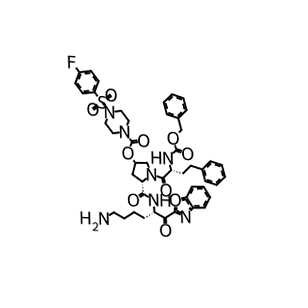 NCCCC[C@H](NC(=O)[C@@H]1C[C@@H](OC(=O)N2CCN(S(=O)(=O)c3ccc(F)cc3)CC2)CN1C(=O)[C@@H](CCc1ccccc1)NC(=O)OCc1ccccc1)C(=O)c1nc2ccccc2o1